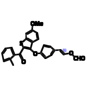 COc1ccc2c(Oc3ccc(/C=C/OC=O)cc3)c(C(=O)c3ccccc3C)sc2c1